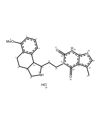 COc1cccc2c1CCC1CNC(CCn3c(=O)[nH]c4scc(C)c4c3=O)C21.Cl